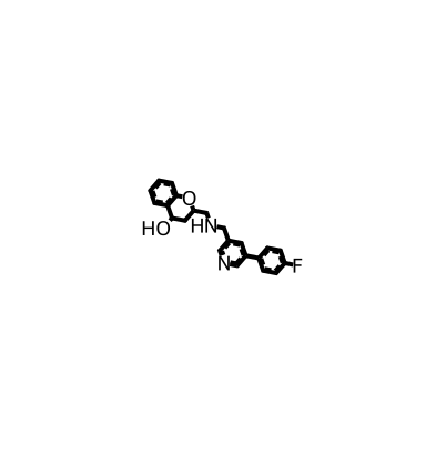 OC1CC(CNCc2cncc(-c3ccc(F)cc3)c2)Oc2ccccc21